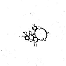 COc1c(F)cccc1Nc1c2[nH]c3c1C(=O)NCC3CCOCC/C(C)=C\CCOc1cnccc1-2